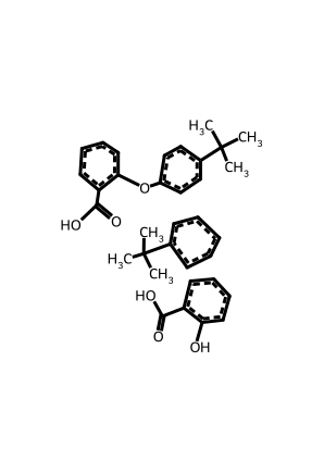 CC(C)(C)c1ccc(Oc2ccccc2C(=O)O)cc1.CC(C)(C)c1ccccc1.O=C(O)c1ccccc1O